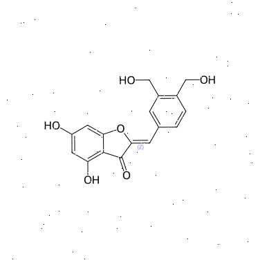 O=C1/C(=C/c2ccc(CO)c(CO)c2)Oc2cc(O)cc(O)c21